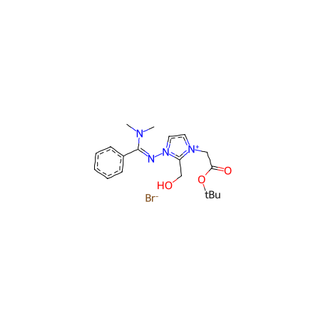 CN(C)C(=Nn1cc[n+](CC(=O)OC(C)(C)C)c1CO)c1ccccc1.[Br-]